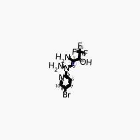 N/C(=C\N(N)c1ccc(Br)cn1)C(O)C(F)(F)F